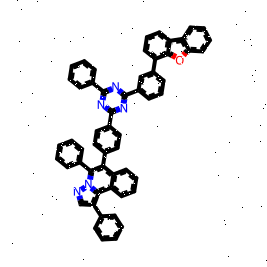 c1ccc(-c2nc(-c3ccc(-c4c(-c5ccccc5)n5ncc(-c6ccccc6)c5c5ccccc45)cc3)nc(-c3cccc(-c4cccc5c4oc4ccccc45)c3)n2)cc1